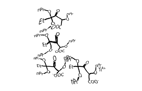 CCCOC(C(=O)[O-])C(=O)C(CC)(OCCC)OCCC.CCCOC(C(=O)[O-])C(=O)C(CC)(OCCC)OCCC.CCCOC(C(=O)[O-])C(=O)C(CC)(OCCC)OCCC.CCCOC(C(=O)[O-])C(=O)C(CC)(OCCC)OCCC.[Ti+4]